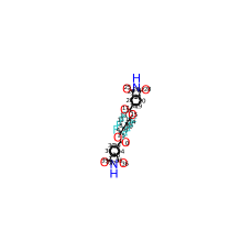 O=C(OC(F)(F)C(F)(F)C(F)(F)C(F)(F)OC(=O)c1ccc2c(c1)C(=O)NC2=O)c1ccc2c(c1)C(=O)NC2=O